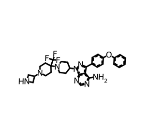 Nc1ncnc2c1c(-c1ccc(Oc3ccccc3)cc1)nn2C1CCN(C2(C(F)(F)F)CCN(C3CNC3)CC2)CC1